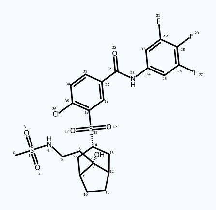 CS(=O)(=O)NCC[C@]1(O)C2CCC1C[C@@H](S(=O)(=O)c1cc(C(=O)Nc3cc(F)c(F)c(F)c3)ccc1Cl)C2